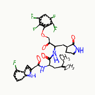 CC(C)CC(NC(=O)c1cc2c(F)cccc2[nH]1)C(=O)NC(CC1CCNC1=O)C(=O)COc1c(F)c(F)cc(F)c1F